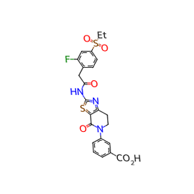 CCS(=O)(=O)c1ccc(CC(=O)Nc2nc3c(s2)C(=O)N(c2cccc(C(=O)O)c2)CC3)c(F)c1